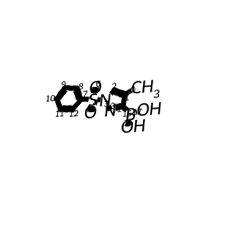 Cc1cn(S(=O)(=O)c2ccccc2)nc1B(O)O